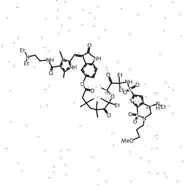 CCN[C@H]1CN(CCCOC)S(=O)(=O)c2sc(S(=O)(=O)NC(CC)(CC)C(=O)[C@H](C)OC(C)(CC)C(=O)C(C)(C)CC(C)(C)CC(=O)Oc3ccc4c(c3)/C(=C\c3[nH]c(C)c(C(=O)NCCN(CC)CC)c3C)C(=O)N4)cc21